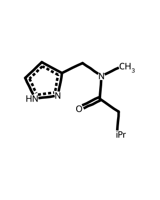 CC(C)CC(=O)N(C)Cc1cc[nH]n1